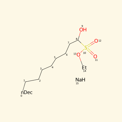 CCCCCCCCCCCCCCCCCC(O)S(=O)(=O)OCC.[NaH]